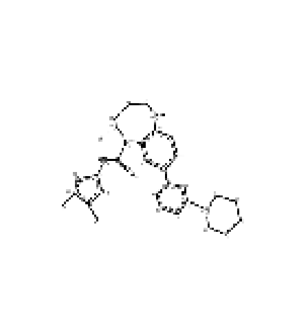 Cc1nc(NC(=O)N2c3nc(-c4cccc(N5CCCCC5)c4)ccc3NCCC[C@H]2C)sc1C